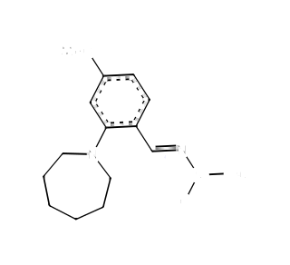 COc1ccc(/C=N/[S+]([O-])C(C)(C)C)c(N2CCCCCC2)c1